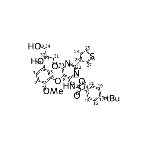 COc1ccccc1Oc1c(NS(=O)(=O)c2ccc(C(C)(C)C)cc2)nc(-c2ccsc2)nc1OC[C@H](O)CO